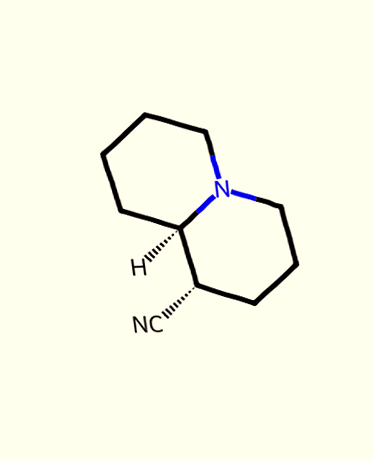 N#C[C@H]1CCCN2CCCC[C@H]12